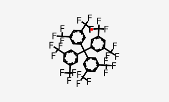 FC(F)(F)c1cc(C(F)(F)F)cc(C(c2cc(C(F)(F)F)cc(C(F)(F)F)c2)(c2cc(C(F)(F)F)cc(C(F)(F)F)c2)c2cc(C(F)(F)F)cc(C(F)(F)F)c2)c1